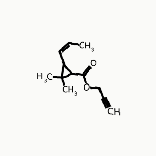 C#CCOC(=O)C1C(/C=C\C)C1(C)C